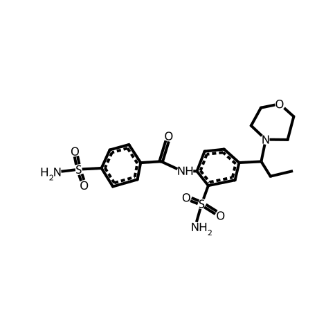 CCC(c1ccc(NC(=O)c2ccc(S(N)(=O)=O)cc2)c(S(N)(=O)=O)c1)N1CCOCC1